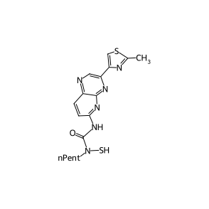 CCCCCN(S)C(=O)Nc1ccc2ncc(-c3csc(C)n3)nc2n1